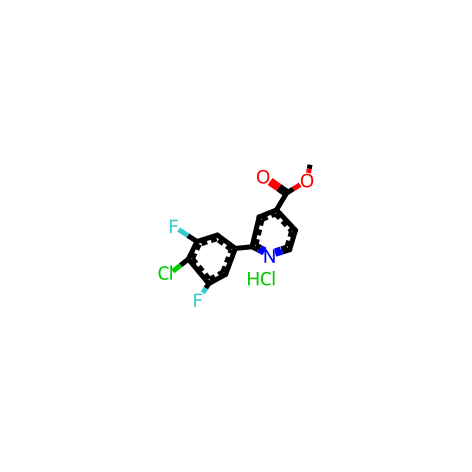 COC(=O)c1ccnc(-c2cc(F)c(Cl)c(F)c2)c1.Cl